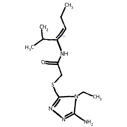 CC/C=C(/NC(=O)CSc1nnc(N)n1CC)C(C)C